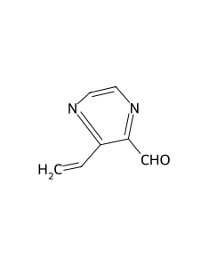 C=Cc1nccnc1C=O